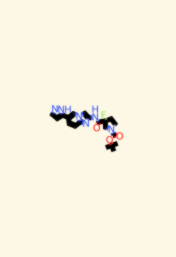 CC(C)(C)OC(=O)N1CCC(F)(C(=O)Nc2cn3cc(-c4ccn[nH]4)ccc3n2)C1